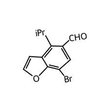 CC(C)c1c(C=O)cc(Br)c2occc12